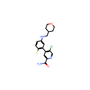 NC(=O)c1cc(-c2cc(NCC3CCOCC3)ccc2F)c(Cl)cn1